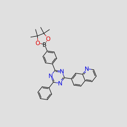 CC1(C)OB(c2ccc(-c3nc(-c4ccccc4)nc(-c4ccc5cccnc5c4)n3)cc2)OC1(C)C